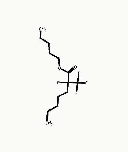 CCCCCOC(=O)C(F)(CCCCC)C(F)(F)F